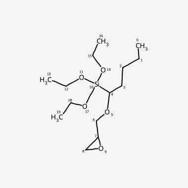 CCCCC(OCC1CO1)[Si](OCC)(OCC)OCC